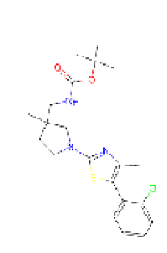 Cc1nc(N2CCC(C)(CNC(=O)OC(C)(C)C)C2)sc1-c1ccccc1Cl